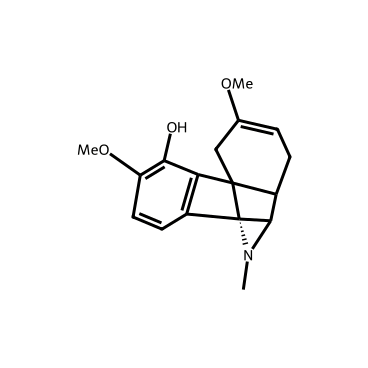 COC1=CCC2C3N(C)[C@@]34c3ccc(OC)c(O)c3C24C1